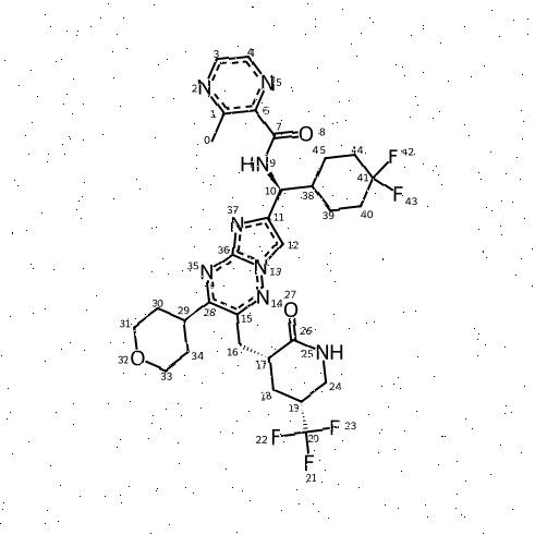 Cc1nccnc1C(=O)N[C@H](c1cn2nc(C[C@H]3C[C@@H](C(F)(F)F)CNC3=O)c(C3CCOCC3)nc2n1)C1CCC(F)(F)CC1